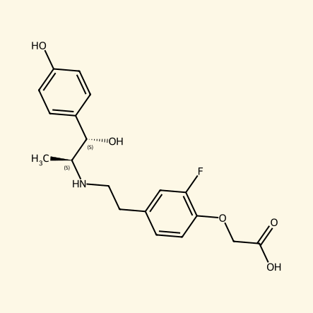 C[C@H](NCCc1ccc(OCC(=O)O)c(F)c1)[C@@H](O)c1ccc(O)cc1